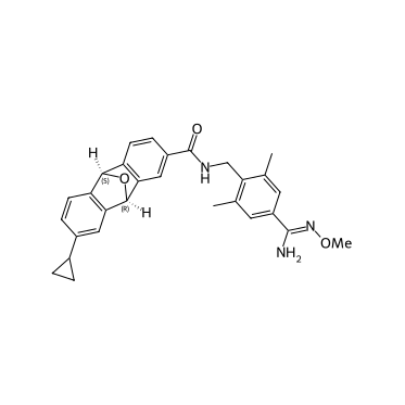 CON=C(N)c1cc(C)c(CNC(=O)c2ccc3c(c2)[C@@H]2O[C@H]3c3ccc(C4CC4)cc32)c(C)c1